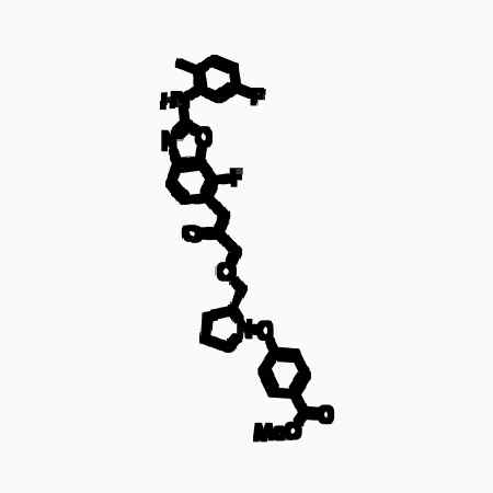 COC(=O)c1ccc(ON2CCC[C@H]2COCC(=O)Cc2ccc3nc(Nc4cc(F)ccc4C)oc3c2F)cc1